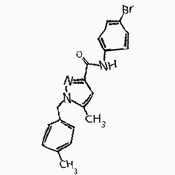 Cc1ccc(Cn2nc(C(=O)Nc3ccc(Br)cc3)cc2C)cc1